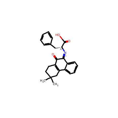 CC1(C)CCC2=C(C1)c1ccccc1/C(=N/[C@H](Cc1ccccc1)C(=O)O)C2=O